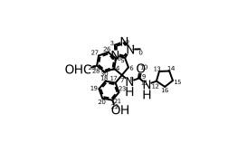 Cn1ncnc1CC(NC(=O)NC1CCCC1)(c1cccc(O)c1)c1cccc(C=O)c1